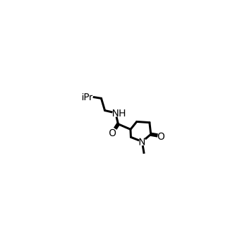 CC(C)CCNC(=O)C1CCC(=O)N(C)C1